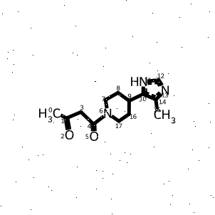 CC(=O)CC(=O)N1CCC(c2[nH]cnc2C)CC1